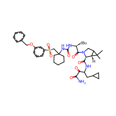 CC(C)(C)[C@H](NC(=O)NC1(CS(=O)(=O)c2cccc(OCc3ccccc3)c2)CCCCC1)C(=O)N1CC2[C@@H]([C@H]1C(=O)NC(CC1CC1)C(=O)C(N)=O)C2(C)C